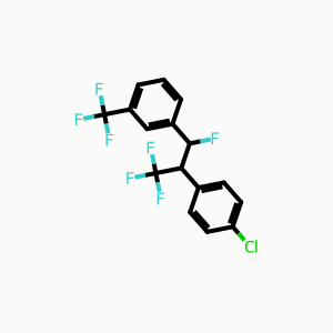 FC([C](c1ccc(Cl)cc1)C(F)(F)F)c1cccc(C(F)(F)F)c1